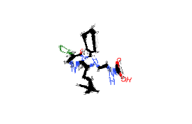 CC(C)(C)CCC(NCCNC(=O)O)c1ncc(Cl)c(=O)n1Cc1ccccc1